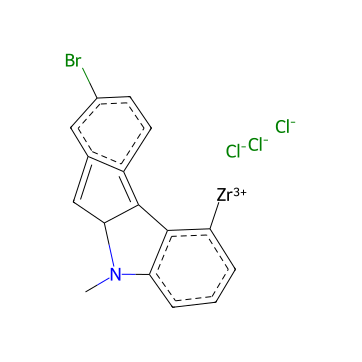 CN1c2ccc[c]([Zr+3])c2C2=c3ccc(Br)cc3=CC21.[Cl-].[Cl-].[Cl-]